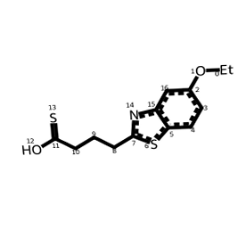 CCOc1ccc2sc(CCCC(O)=S)nc2c1